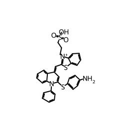 Nc1ccc(SC2=C/C(=C\c3sc4ccccc4[n+]3CCCS(=O)(=O)O)c3ccccc3N2c2ccccc2)cc1